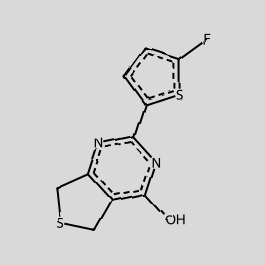 Oc1nc(-c2ccc(F)s2)nc2c1CSC2